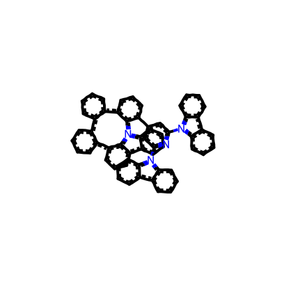 c1ccc2c(c1)c1ccccc1c1cccc3c4ccccc4n(c4c(-c5cc(-n6c7ccccc7c7ccccc76)nc(-n6c7ccccc7c7ccccc76)c5)cccc24)c13